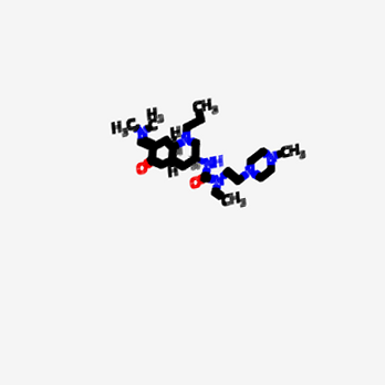 CCCN1C[C@@H](NC(=O)N(CC)CCN2CCN(C)CC2)C[C@@H]2CC(=O)C(=CN(C)C)C[C@H]21